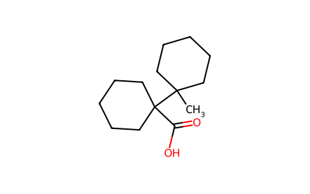 CC1(C2(C(=O)O)CCCCC2)CCCCC1